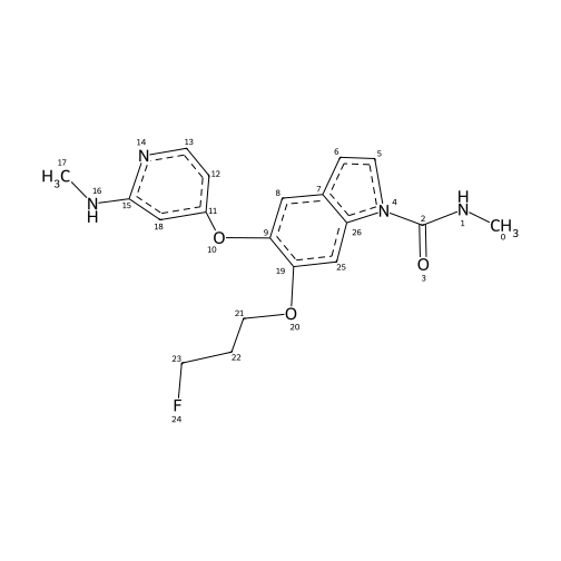 CNC(=O)n1ccc2cc(Oc3ccnc(NC)c3)c(OCCCF)cc21